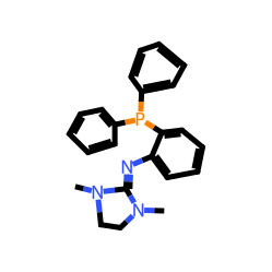 CN1CCN(C)C1=Nc1ccccc1P(c1ccccc1)c1ccccc1